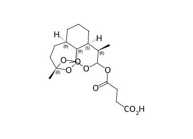 C[C@H]1C(OC(=O)CCC(=O)O)OC2(C)O[C@@]3(C)CC[C@H]4CCC[C@@H]1[C@]42OO3